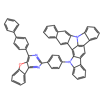 c1ccc(-c2ccc(-c3nc(-c4ccc(-n5c6ccccc6c6cc7c8ccccc8n8c9cc%10ccccc%10cc9c(c65)c78)cc4)nc4c3oc3ccccc34)cc2)cc1